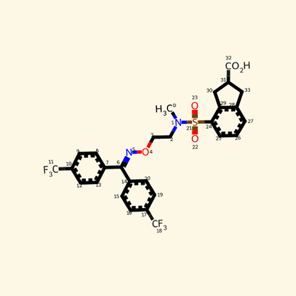 CN(CCON=C(c1ccc(C(F)(F)F)cc1)c1ccc(C(F)(F)F)cc1)S(=O)(=O)c1cccc2c1CC(C(=O)O)C2